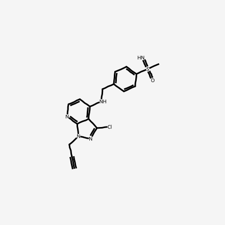 C#CCn1nc(Cl)c2c(NCc3ccc(S(C)(=N)=O)cc3)ccnc21